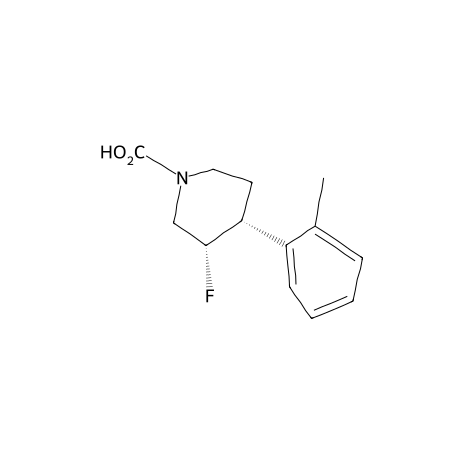 Cc1ccccc1[C@H]1CCN(C(=O)O)C[C@H]1F